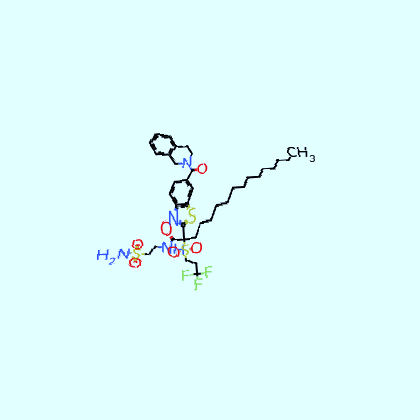 CCCCCCCCCCCCCCC(C(=O)NCCS(N)(=O)=O)(c1nc2ccc(C(=O)N3CCc4ccccc4C3)cc2s1)S(=O)(=O)CCC(F)(F)F